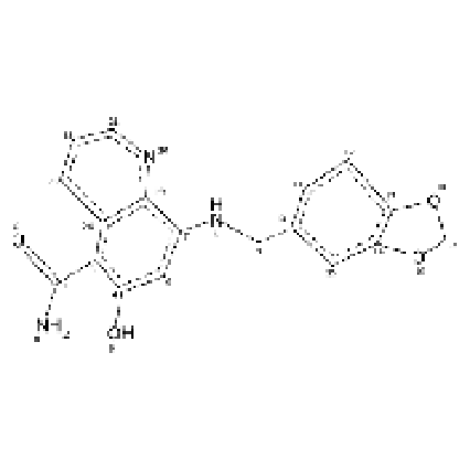 NC(=O)c1c(O)cc(NCc2ccc3c(c2)OCO3)c2ncccc12